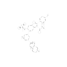 CNC(=O)c1c(-c2ccc(F)cc2)oc2cc(N(C)S(C)(=O)=O)c(-c3cncc(-c4cn5ccncc5n4)c3)cc12